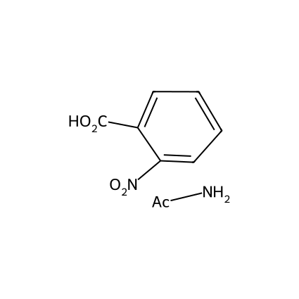 CC(N)=O.O=C(O)c1ccccc1[N+](=O)[O-]